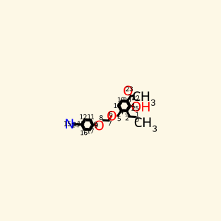 CCCc1c(COCCOc2ccc(C#N)cc2)ccc(C(C)=O)c1O